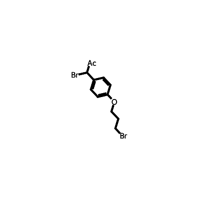 CC(=O)C(Br)c1ccc(OCCCBr)cc1